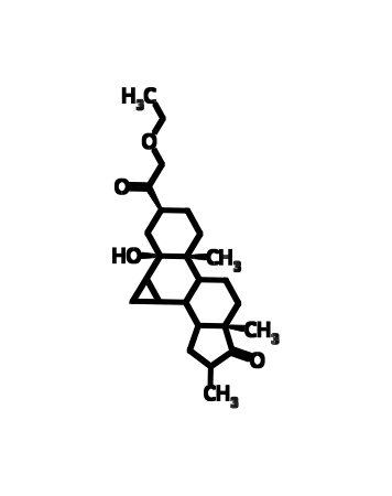 CCOCC(=O)[C@H]1CC[C@]2(C)C3CC[C@]4(C)C(=O)C(C)CC4C3C3CC3[C@]2(O)C1